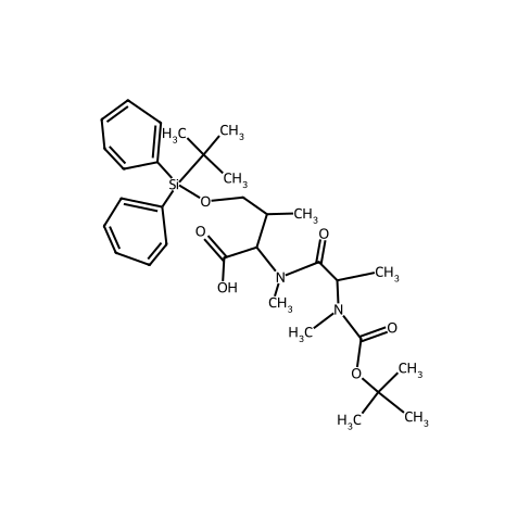 CC(CO[Si](c1ccccc1)(c1ccccc1)C(C)(C)C)C(C(=O)O)N(C)C(=O)C(C)N(C)C(=O)OC(C)(C)C